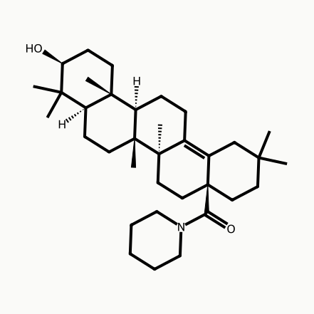 CC1(C)CC[C@]2(C(=O)N3CCCCC3)CC[C@]3(C)C(=C2C1)CC[C@@H]1[C@@]2(C)CC[C@H](O)C(C)(C)[C@@H]2CC[C@]13C